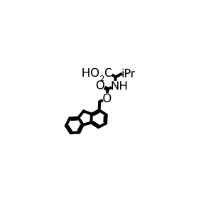 CC(C)C(NC(=O)OCc1cccc2c1Cc1ccccc1-2)C(=O)O